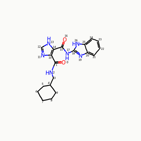 O=C(NCC1CCCCC1)c1nc[nH]c1C(=O)Nc1nc2ccccc2[nH]1